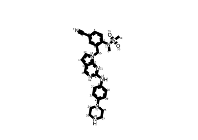 CN(c1ccc(C#N)cc1Cn1ccc2cnc(Nc3ccc(N4CCNCC4)cc3)nc21)S(C)(=O)=O